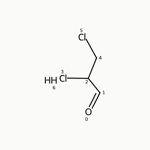 O=CC(Cl)CCl.[HH]